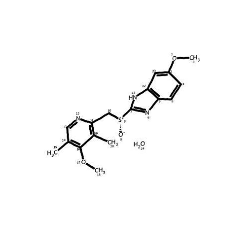 COc1ccc2nc([S@+]([O-])Cc3ncc(C)c(OC)c3C)[nH]c2c1.O